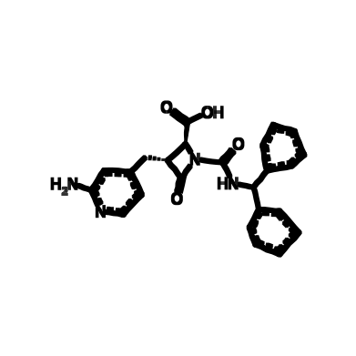 Nc1cc(C[C@H]2C(=O)N(C(=O)NC(c3ccccc3)c3ccccc3)[C@@H]2C(=O)O)ccn1